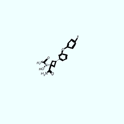 NC(=O)N(O)[C@]1(C(N)=O)C[C@H](c2cccc(Oc3ccc(F)cc3)c2)C1